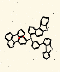 c1ccc(-c2cccc3cccc(-c4ccc(N(c5cccc(-c6cccc7oc8ccccc8c67)c5)c5cccc6c5ccc5oc7ccccc7c56)cc4)c23)cc1